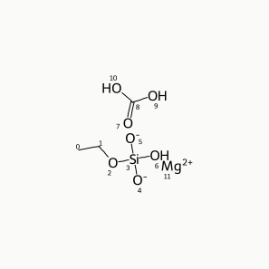 CCO[Si]([O-])([O-])O.O=C(O)O.[Mg+2]